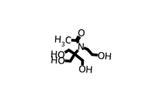 CC(=O)N(CCO)C(CO)(CO)CO